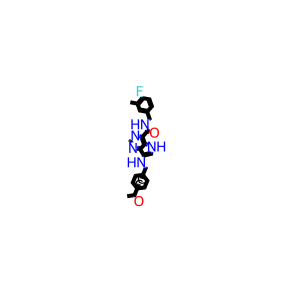 CC(=O)C12CCC(CNc3c[nH]c4c(C(=O)NCc5ccc(F)c(C)c5)ncnc34)(CC1)CC2